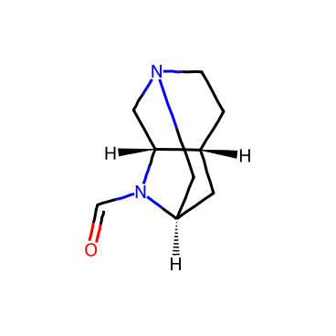 O=CN1[C@@H]2C[C@H]3CCN(C2)C[C@H]31